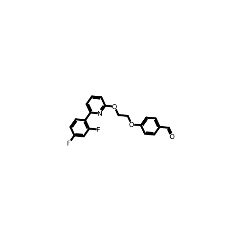 O=Cc1ccc(OCCOc2cccc(-c3ccc(F)cc3F)n2)cc1